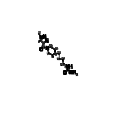 Cn1cc(C(=O)N2CCC(CCCCNC(N)=O)CC2)nn1